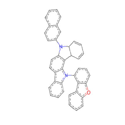 C1=CC2c3c(ccc4c5ccccc5n(-c5cccc6oc7ccccc7c56)c34)N(c3ccc4ccccc4c3)C2C=C1